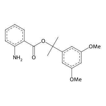 COc1cc(OC)cc(C(C)(C)OC(=O)c2ccccc2N)c1